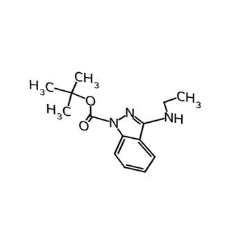 CCNc1nn(C(=O)OC(C)(C)C)c2ccccc12